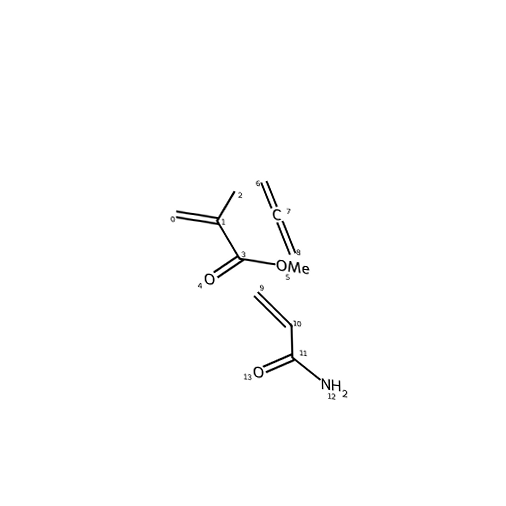 C=C(C)C(=O)OC.C=C=C.C=CC(N)=O